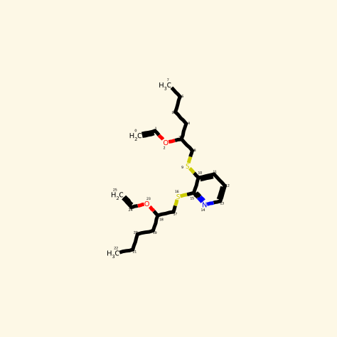 C=COC(CCCC)CSc1cccnc1SCC(CCCC)OC=C